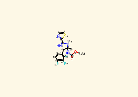 CCN(C(=N)c1nccs1)C(C)(Cc1ccc(F)c(F)c1F)NC(=O)OC(C)(C)C